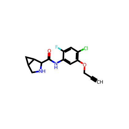 C#CCOc1cc(NC(=O)C2NCC3CC32)c(F)cc1Cl